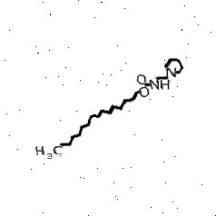 CCCCCCCCCCCCCCCCOC(=O)NCCN1CCCCC1